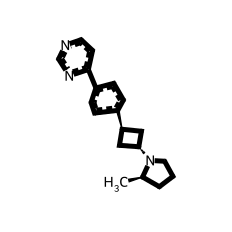 C[C@@H]1CCCN1[C@H]1C[C@H](c2ccc(-c3ccncn3)cc2)C1